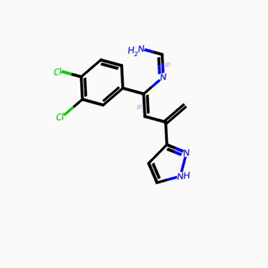 C=C(/C=C(\N=C/N)c1ccc(Cl)c(Cl)c1)c1cc[nH]n1